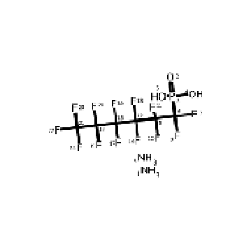 N.N.O=P(O)(O)C(F)(F)C(F)(F)C(F)(F)C(F)(F)C(F)(F)C(F)(F)F